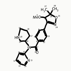 COC1C(c2ccc(C(=O)N(c3ccccn3)C3CCCNC3)cc2)=NOC1(C)C